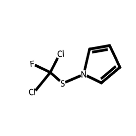 FC(Cl)(Cl)Sn1cccc1